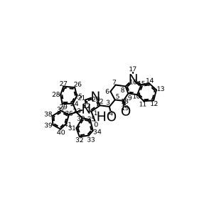 Cc1c(C(O)C2CCc3c(c4ccccc4n3C)C2=O)ncn1C(c1ccccc1)(c1ccccc1)c1ccccc1